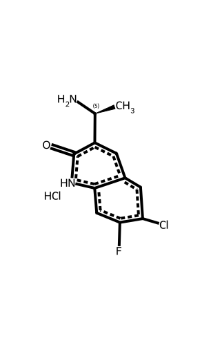 C[C@H](N)c1cc2cc(Cl)c(F)cc2[nH]c1=O.Cl